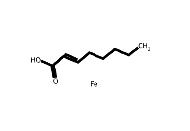 CCCCCC=CC(=O)O.[Fe]